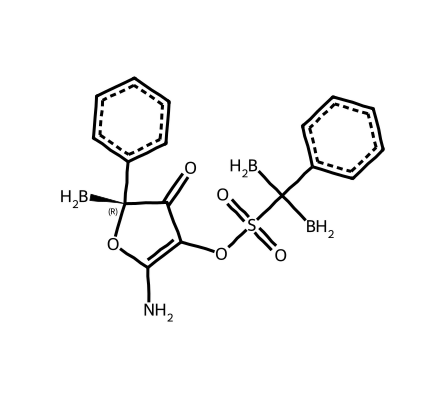 BC(B)(c1ccccc1)S(=O)(=O)OC1=C(N)O[C@](B)(c2ccccc2)C1=O